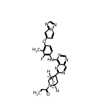 C=CC(=O)N1C[C@@H]2CC[C@H]1CN2c1ncc2ncnc(Nc3ccc(Oc4ccn5ncnc5c4)c(C)c3F)c2n1